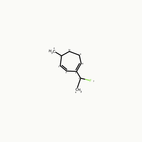 CC1C=CC(C(C)F)=CCC1